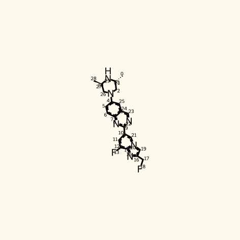 C[C@@H]1CN(c2ccc3nc(-c4cc(F)c5nc(CF)cn5c4)ncc3c2)C[C@@H](C)N1